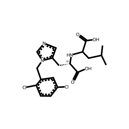 CC(C)CC(N[C@@H](Cc1cncn1Cc1cc(Cl)ccc1Cl)C(=O)O)C(=O)O